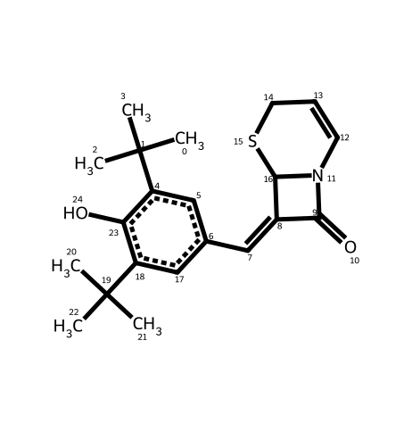 CC(C)(C)c1cc(C=C2C(=O)N3C=CCSC23)cc(C(C)(C)C)c1O